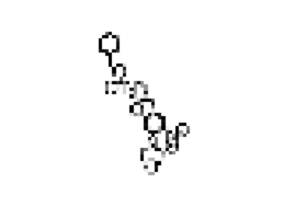 O=C(OCc1ccccc1)N1CCC2(Cc3cc([N+](=O)[O-])c(N4CCOCC4)cc3O2)C1